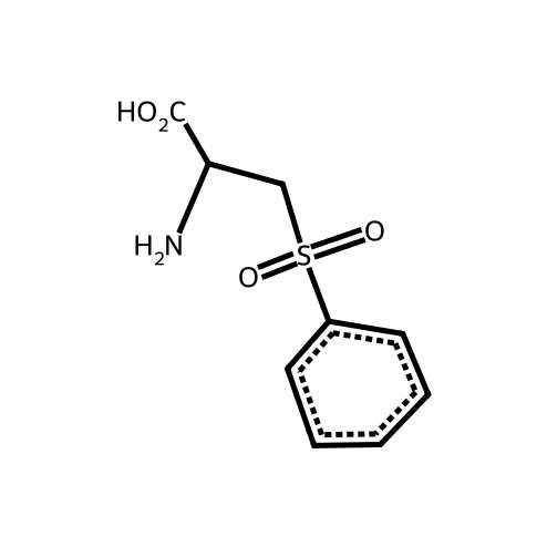 NC(CS(=O)(=O)c1ccccc1)C(=O)O